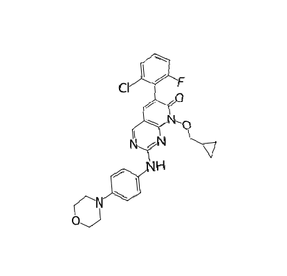 O=c1c(-c2c(F)cccc2Cl)cc2cnc(Nc3ccc(N4CCOCC4)cc3)nc2n1OCC1CC1